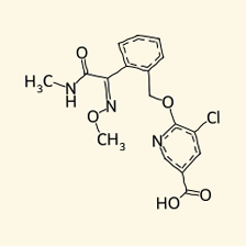 CNC(=O)C(=NOC)c1ccccc1COc1ncc(C(=O)O)cc1Cl